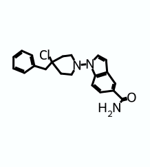 NC(=O)c1ccc2c(ccn2N2CCC(Cl)(Cc3ccccc3)CC2)c1